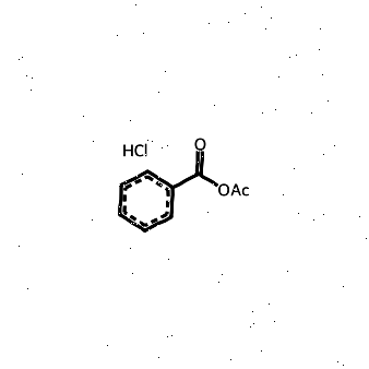 CC(=O)OC(=O)c1ccccc1.Cl